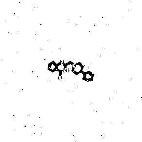 O=c1[nH]c(CN2CCC(c3ccccc3)CC2)nc2ccccc12